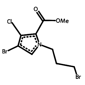 COC(=O)c1c(Cl)c(Br)cn1CCCBr